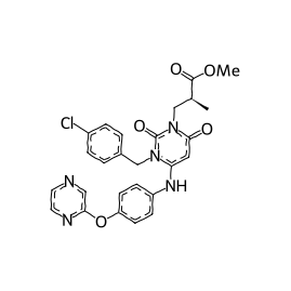 COC(=O)[C@@H](C)Cn1c(=O)cc(Nc2ccc(Oc3cnccn3)cc2)n(Cc2ccc(Cl)cc2)c1=O